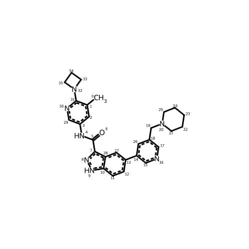 Cc1cc(NC(=O)c2n[nH]c3ccc(-c4cncc(CN5CCCCC5)c4)cc23)cnc1N1CCC1